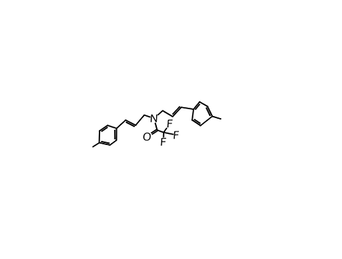 Cc1ccc(C=CCN(CC=Cc2ccc(C)cc2)C(=O)C(F)(F)F)cc1